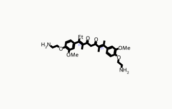 CC/C(=C(/C)C(=O)CC(=O)/C(C)=C(\C)c1ccc(OCCN)c(OC)c1)c1ccc(OCCN)c(OC)c1